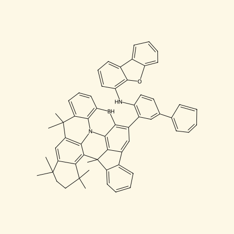 CC1(C)CCC(C)(C)c2c1cc1c3c2C2(C)c4ccccc4-c4cc(-c5cc(-c6ccccc6)ccc5Nc5cccc6c5oc5ccccc56)c5c(c42)N3c2c(cccc2C1(C)C)B5